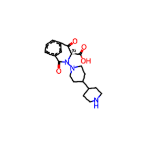 O=C(O)[C@@H]1C(=O)c2cccc(c2)C(=O)N1N1CCC(C2CCNCC2)CC1